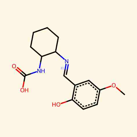 COc1ccc(O)c(/C=N/C2CCCCC2NC(=O)O)c1